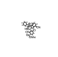 COC(=O)c1ccc(Cl)c(C(O)c2cc3c(C#N)ccnc3n2S(=O)(=O)c2ccccc2)c1Cl